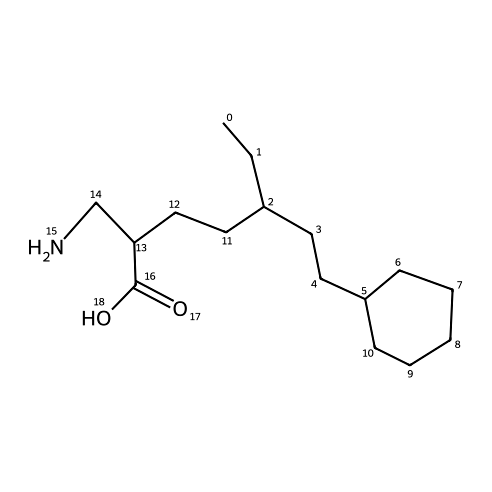 CCC(CCC1CCCCC1)CCC(CN)C(=O)O